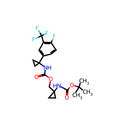 CC(C)(C)OC(=O)NC1(COC(=O)NC2(c3ccc(F)c(C(F)(F)F)c3)CC2)CC1